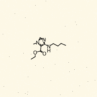 CCCCNc1ncn(C)c1C(=O)OCC